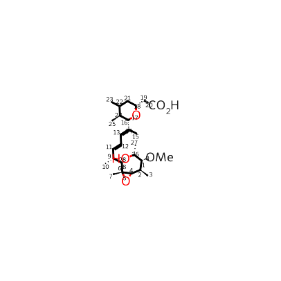 CO[C@H]([C@@H](C)[C@H]1O[C@]1(C)C[C@H](C)/C=C/C=C(\C)[C@H]1O[C@@H](CC(=O)O)CC(C)[C@@H]1C)[C@@H](C)O